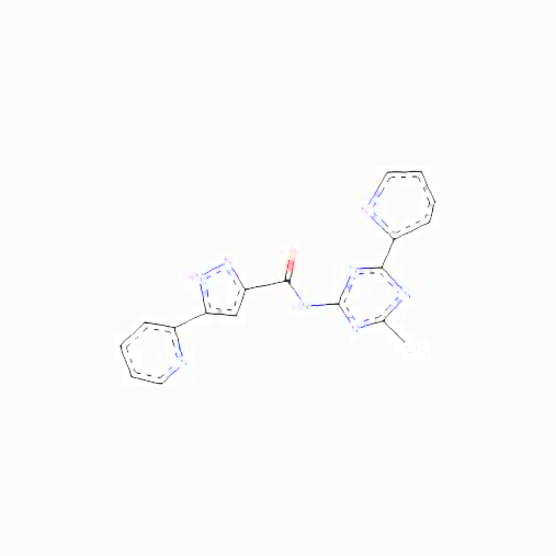 Cc1nc(NC(=O)c2cc(-c3ccccn3)[nH]n2)nc(-c2ccccn2)n1